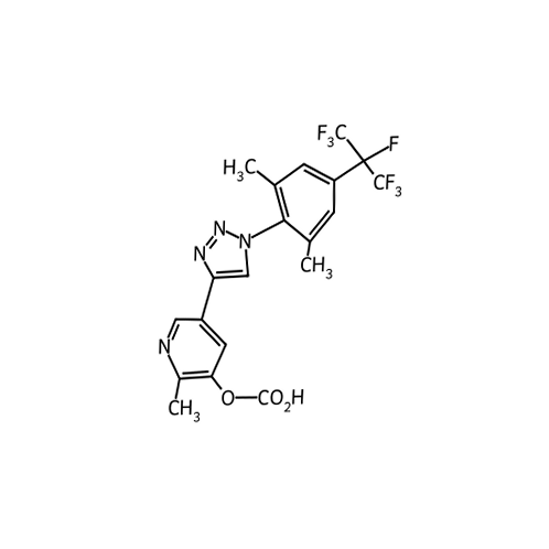 Cc1cc(C(F)(C(F)(F)F)C(F)(F)F)cc(C)c1-n1cc(-c2cnc(C)c(OC(=O)O)c2)nn1